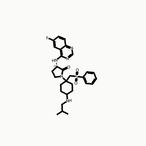 CC(C)CNC1CCC(CS(=O)(=O)c2ccccc2)(N2CC[C@H](Nc3ncnc4ccc(F)cc34)C2=O)CC1